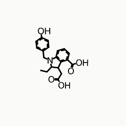 CCC1C(CC(=O)O)c2c(C(=O)O)cccc2N1Cc1ccc(O)cc1